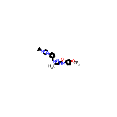 Cc1cc(C(=O)Nc2ccc(OC(F)(F)F)cc2)nn1Cc1cccc(N2CCN(C3CC3)CC2)c1